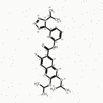 CC(C)Oc1nc2cc(F)c(C(=O)Nc3cccc(-c4nnnn4C(C)C)n3)cc2nc1OC(C)C